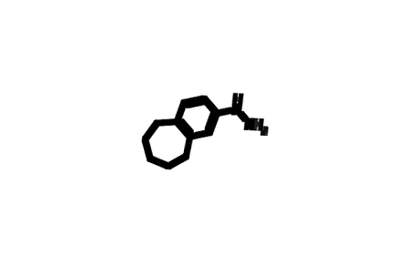 NNc1ccc2c(c1)CCCCC2